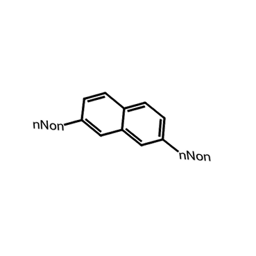 CCCCCCCCCc1ccc2ccc(CCCCCCCCC)cc2c1